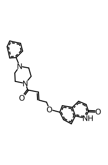 O=C(/C=C/COc1ccc2[nH]c(=O)ccc2c1)N1CCN(c2ccccc2)CC1